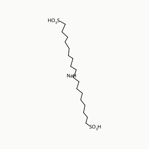 O=S(=O)(O)CCCCCCCCCCCCCCCCCCS(=O)(=O)O.[NaH]